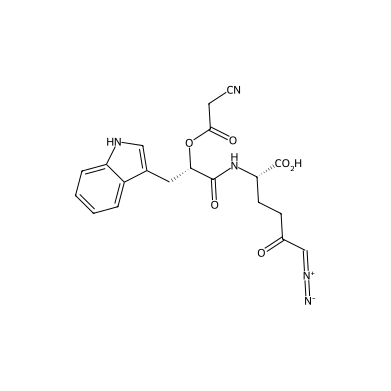 N#CCC(=O)O[C@@H](Cc1c[nH]c2ccccc12)C(=O)N[C@@H](CCC(=O)C=[N+]=[N-])C(=O)O